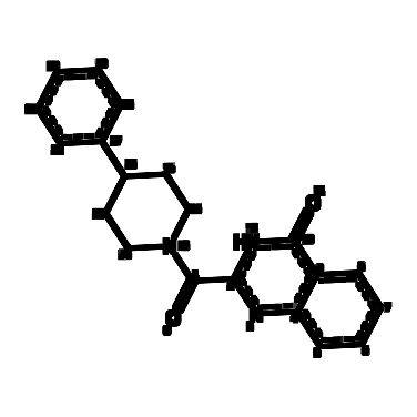 O=C(c1nc2ccccc2c(=O)[nH]1)N1CCC(c2ccccc2)CC1